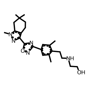 Cc1cc(-c2noc(-c3nn(C)c4c3CCC(C)(C)C4)n2)cc(C)c1CCNCCO